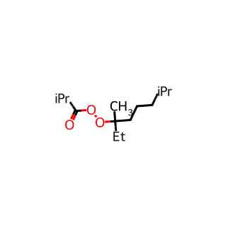 CCC(C)(CCCC(C)C)OOC(=O)C(C)C